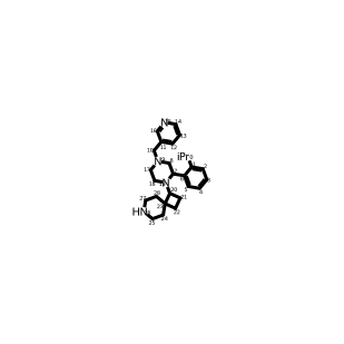 CC(C)c1ccccc1C1CN(Cc2cccnc2)CCN1C1CCC12CCNCC2